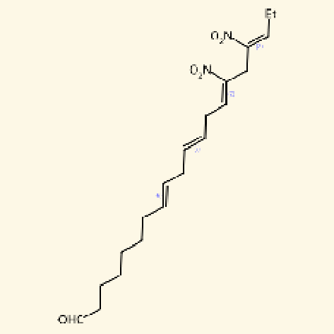 CC/C=C(/C/C(=C/C/C=C/C/C=C/CCCCCC[C]=O)[N+](=O)[O-])[N+](=O)[O-]